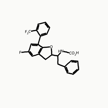 O=C(O)NC(Cc1ccccc1)C1Cc2cc(F)cc(-c3ccccc3C(F)(F)F)c2O1